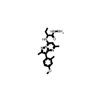 CCC(Nc1cc(C)nc2c(-c3ccc(OC)cc3C)c(C)nn12)C(=O)NN